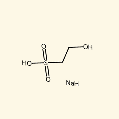 O=S(=O)(O)CCO.[NaH]